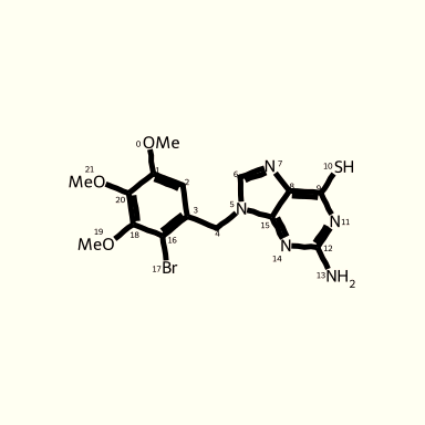 COc1cc(Cn2cnc3c(S)nc(N)nc32)c(Br)c(OC)c1OC